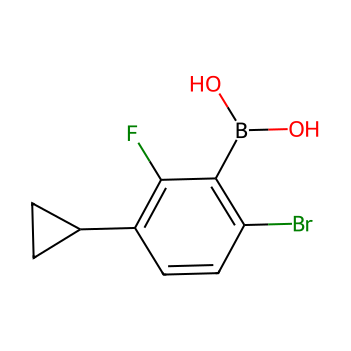 OB(O)c1c(Br)ccc(C2CC2)c1F